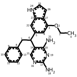 CCOc1cc(C(Cc2ccccc2)c2cnc(N)nc2N)cc2[nH]ccc12